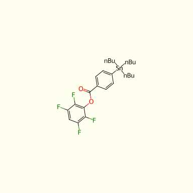 CCC[CH2][Sn]([CH2]CCC)([CH2]CCC)[c]1ccc(C(=O)Oc2c(F)c(F)cc(F)c2F)cc1